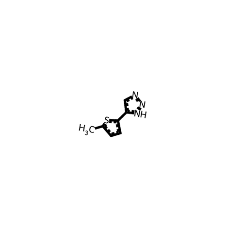 Cc1ccc(-c2cnn[nH]2)s1